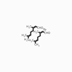 CC(C)=CCC/C(C)=C\C=O.CC(C)=CCC/C(C)=C\C=O.[Tb]